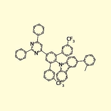 Cc1ccccc1-c1ccc2c(c1)c1ccccc1n2-c1c(-c2cccc(C(F)(F)F)c2)cc(-c2cc(-c3ccccc3)nc(-c3ccccc3)n2)cc1-c1cccc(C(F)(F)F)c1